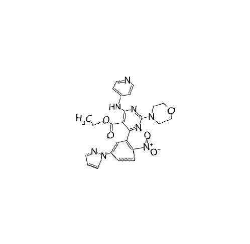 CCOC(=O)c1c(Nc2ccncc2)nc(N2CCOCC2)nc1-c1cc(-n2cccn2)ccc1[N+](=O)[O-]